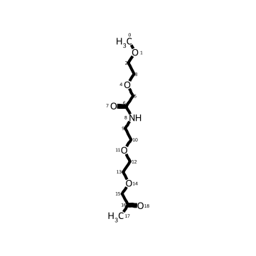 COCCOCC(=O)NCCOCCOCC(C)=O